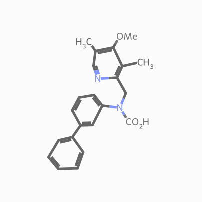 COc1c(C)cnc(CN(C(=O)O)c2cccc(-c3ccccc3)c2)c1C